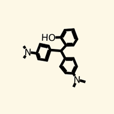 CN(C)c1ccc(C(c2ccc(N(C)C)cc2)c2ccccc2O)cc1